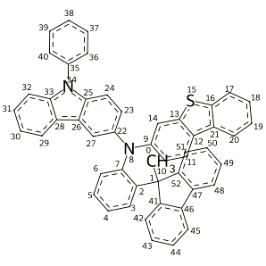 CC1(c2ccccc2N(c2ccc3c(c2)sc2ccccc23)c2ccc3c(c2)c2ccccc2n3-c2ccccc2)c2ccccc2-c2ccccc21